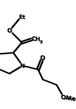 C=C(OCC)C1CCCN1C(=O)CCOC